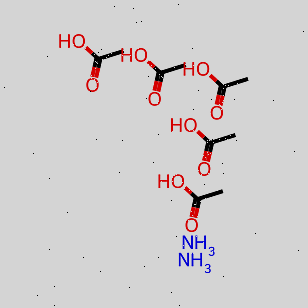 CC(=O)O.CC(=O)O.CC(=O)O.CC(=O)O.CC(=O)O.N.N